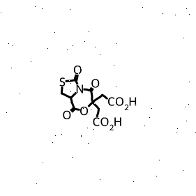 O=C(O)CC1(CC(=O)O)OC(=O)C2CSC(=O)N2C1=O